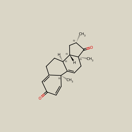 C[C@H]1C[C@H]2[C@@H]3CCC4=CC(=O)C=C[C@]4(C)C3=CC[C@]2(C)C1=O